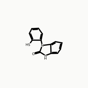 O=c1[nH]c2ccccc2n1-c1ccccc1S